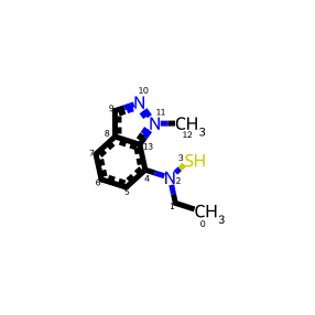 CCN(S)c1cccc2cnn(C)c12